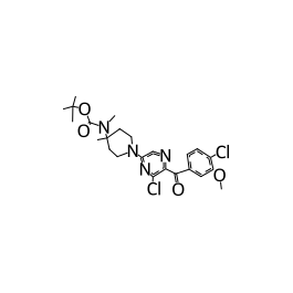 COc1cc(C(=O)c2ncc(N3CCC(C)(N(C)C(=O)OC(C)(C)C)CC3)nc2Cl)ccc1Cl